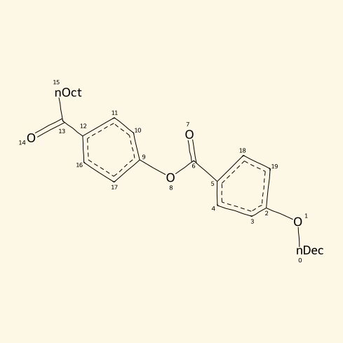 CCCCCCCCCCOc1ccc(C(=O)Oc2ccc(C(=O)CCCCCCCC)cc2)cc1